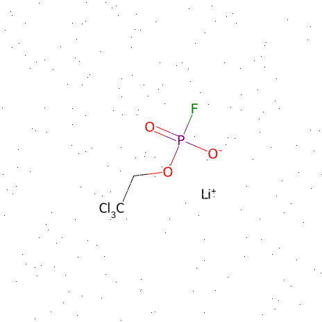 O=P([O-])(F)OCC(Cl)(Cl)Cl.[Li+]